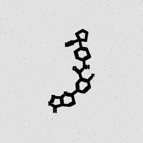 N#CC1(c2ccc(NC(=O)c3cc(-c4ccc5[nH]nnc5n4)ccc3F)cc2)CCCC1